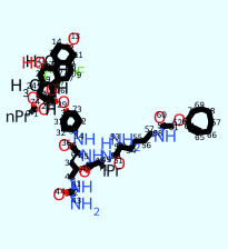 CCCC1O[C@@H]2C[C@H]3[C@@H]4C[C@H](F)C5=CC(=O)C=C[C@]5(C)[C@@]4(F)[C@@H](O)C[C@]3(C)[C@]2(C(=O)COc2ccc(NC(=O)[C@H](CCCNC(N)=O)NC(=O)C(NC(=O)[C@H](N)CCCCNC(=O)COC3C#CCCCCC3)C(C)C)cc2)O1